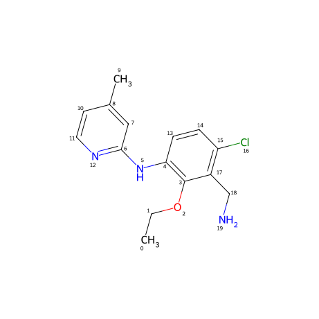 CCOc1c(Nc2cc(C)ccn2)ccc(Cl)c1CN